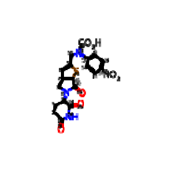 O=C1CCC(N2Cc3cc(CN(C(=O)O)c4ccc([N+](=O)[O-])cc4)sc3C2=O)C(=O)N1